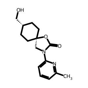 Cc1cccc(N2C[C@]3(CC[C@@H](CO)CC3)OC2=O)n1